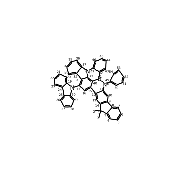 CC1(C)c2ccccc2-c2cc3c(cc21)-c1cc(-n2c4ccccc4c4ccccc42)c2c4ccccc4n4c2c1B(c1ccccc1-4)N3c1ccccc1